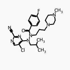 CC(C)CN(c1nc(C#N)ncc1Cl)N(CCCN1CCN(C)CC1)C(=O)c1ccc(F)cc1